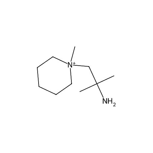 CC(C)(N)C[N+]1(C)CCCCC1